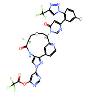 C[C@@H]1CCC[C@H](n2cnc(-c3cc(Cl)ccc3-n3cc(C(F)(F)F)nn3)cc2=O)c2cc(ccn2)-c2nn(-c3cc(OC(=O)C(F)(F)F)ncn3)cc2NC1=O